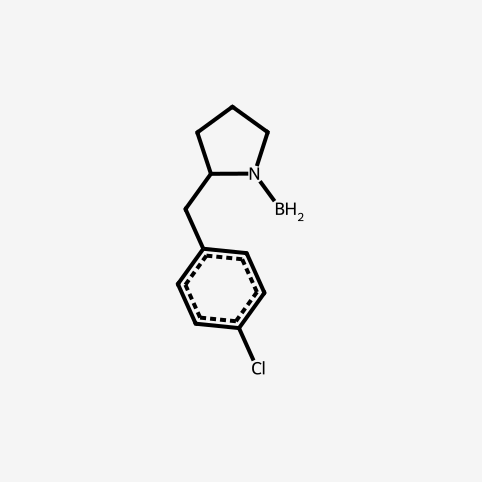 BN1CCCC1Cc1ccc(Cl)cc1